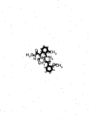 CNC(=O)C(NOC)c1cccc(C)c1CO/N=C(\C)c1ccccc1OC